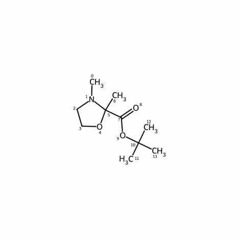 CN1CCOC1(C)C(=O)OC(C)(C)C